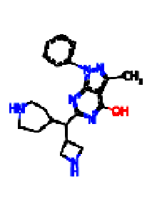 Cc1nn(-c2ccccc2)c2nc(C(C3CCNCC3)C3CNC3)nc(O)c12